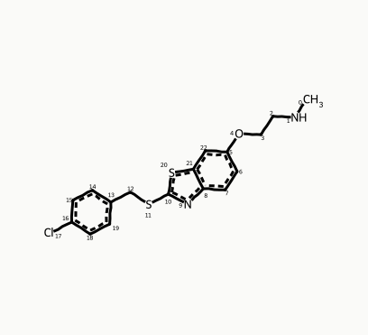 CNCCOc1ccc2nc(SCc3ccc(Cl)cc3)sc2c1